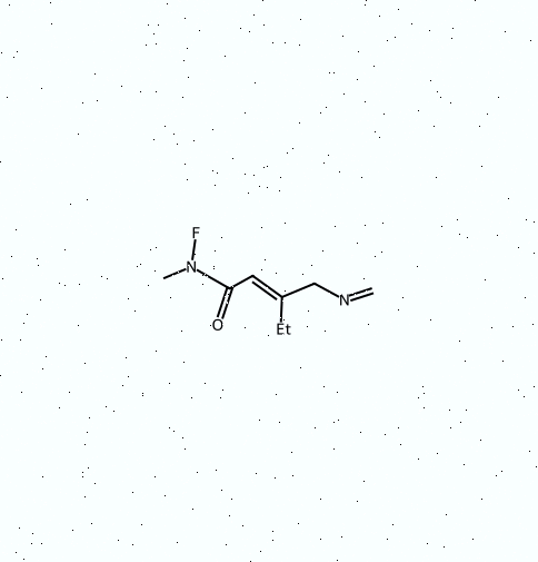 C=NC/C(=C/C(=O)N(C)F)CC